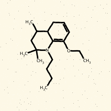 CCCCN1C2=C(OCC)C=CCC2C(C)CC1(C)C